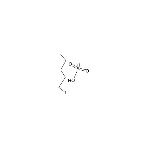 CCCCCI.O=[SH](=O)O